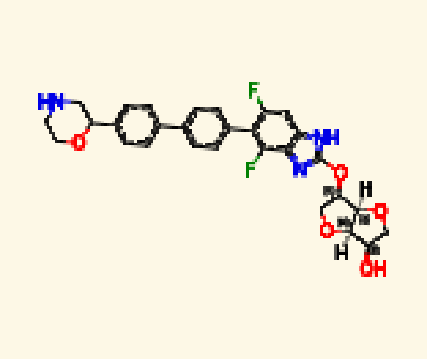 O[C@@H]1CO[C@H]2[C@@H]1OC[C@H]2Oc1nc2c(F)c(-c3ccc(-c4ccc(C5CNCCO5)cc4)cc3)c(F)cc2[nH]1